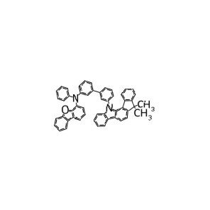 CC1(C)c2ccccc2-c2c1ccc1c3ccccc3n(-c3cccc(-c4cccc(N(c5ccccc5)c5cccc6c5oc5ccccc56)c4)c3)c21